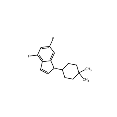 CC1(C)CCC(n2ccc3c(F)cc(F)cc32)CC1